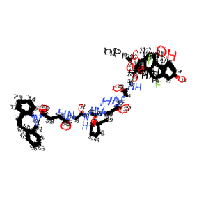 CCCC1O[C@@H]2C[C@H]3[C@@H]4C[C@H](F)C5=CC(=O)C=C[C@]5(C)[C@@]4(F)[C@@H](O)C[C@]3(C)[C@]2(C(=O)COCNC(=O)CNC(=O)[C@H](Cc2ccccc2)NC(=O)CNC(=O)CNC(=O)CCC(=O)N2Cc3ccccc3C#Cc3ccccc32)O1